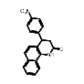 O=C1CC(c2ccc([N+](=O)[O-])cc2)c2ccc3ccccc3c2N1